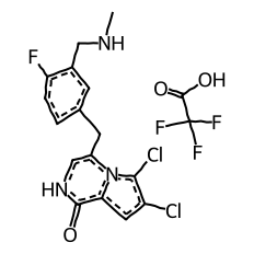 CNCc1cc(Cc2c[nH]c(=O)c3cc(Cl)c(Cl)n23)ccc1F.O=C(O)C(F)(F)F